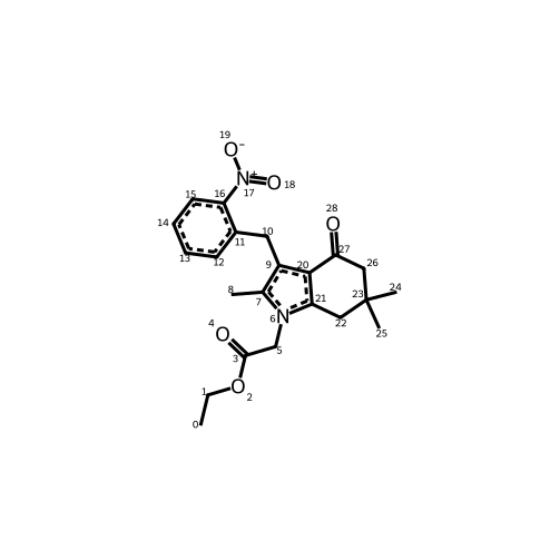 CCOC(=O)Cn1c(C)c(Cc2ccccc2[N+](=O)[O-])c2c1CC(C)(C)CC2=O